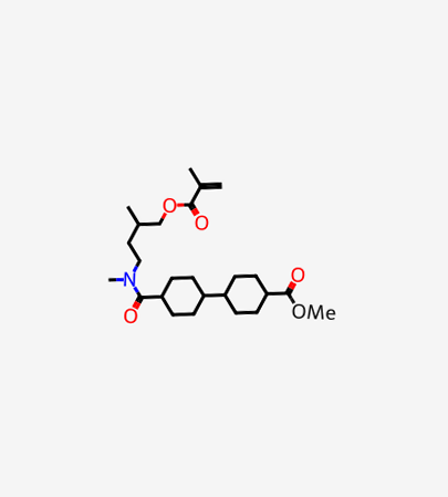 C=C(C)C(=O)OCC(C)CCN(C)C(=O)C1CCC(C2CCC(C(=O)OC)CC2)CC1